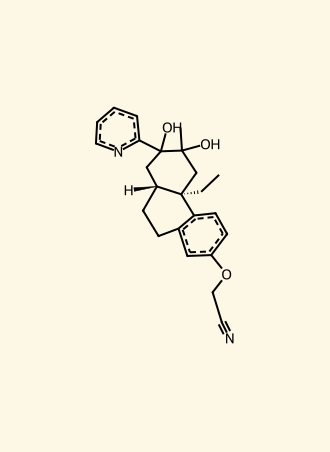 CC[C@@]12CC(C)(O)C(O)(c3ccccn3)C[C@H]1CCc1cc(OCC#N)ccc12